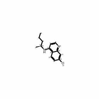 C[CH]C[C@H](C)Nc1ccnc2cc(Cl)ccc12